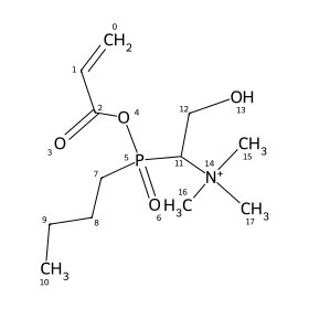 C=CC(=O)OP(=O)(CCCC)C(CO)[N+](C)(C)C